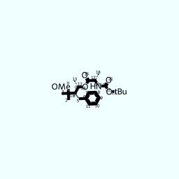 COC(C)(C)[C@@H](Cc1ccccc1)[C@H](C)OC(=O)[C@H](C)NC(=O)OC(C)(C)C